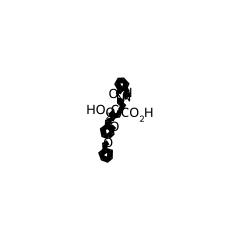 O=C(CC(CCn1nnc2ccccc2c1=O)(C(=O)O)C(=O)O)c1cc2ccc(OCc3ccccc3)cc2o1